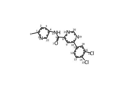 Cc1ccc(NC(=O)c2cc(-c3ccc(Cl)c(Cl)c3)ncn2)cn1